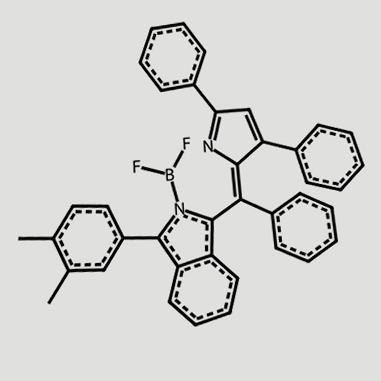 Cc1ccc(-c2c3ccccc3c(/C(=C3\N=C(c4ccccc4)C=C3c3ccccc3)c3ccccc3)n2B(F)F)cc1C